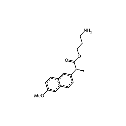 COc1ccc2cc([C@H](C)C(=O)OCCCN)ccc2c1